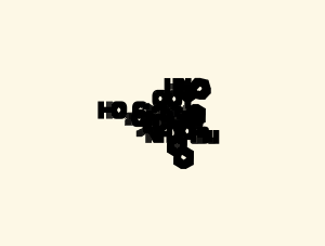 C[C@H](N)C(=O)N[C@@H](CC(=O)O)C(=O)N(C(=O)[C@H](Cc1c[nH]c2ccccc12)NC(=O)OC(C)(C)C)C(=O)[C@@H]1C(c2ccc3ccccc3c2)[C@H]1c1ccccc1